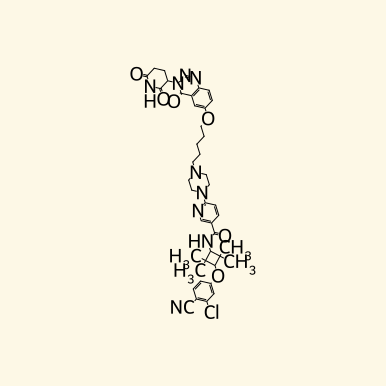 CC1(C)C(NC(=O)c2ccc(N3CCN(CCCCCOc4ccc5nnn(C6CCC(=O)NC6=O)c(=O)c5c4)CC3)nc2)C(C)(C)C1Oc1ccc(C#N)c(Cl)c1